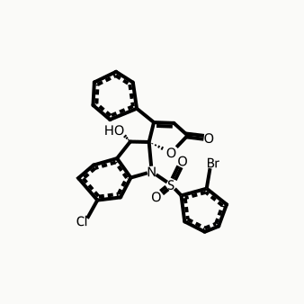 O=C1C=C(c2ccccc2)[C@]2(O1)[C@@H](O)c1ccc(Cl)cc1N2S(=O)(=O)c1ccccc1Br